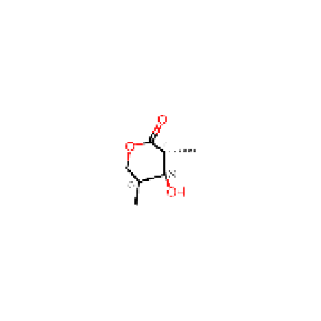 C[C@H]1COC(=O)[C@H](C)[C@H]1O